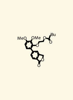 CCC(C)C(=O)OCCOc1c(-c2ccc3c(c2)COC3=O)ccc(OC)c1OC